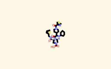 O=C(NCc1cccs1)[C@@H]1CN(C(=O)O)CCN1C(=O)C(NC1CCCCC1)C1CCN(C(=O)c2cscn2)CC1